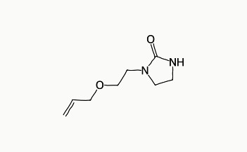 C=CCOCCN1CCNC1=O